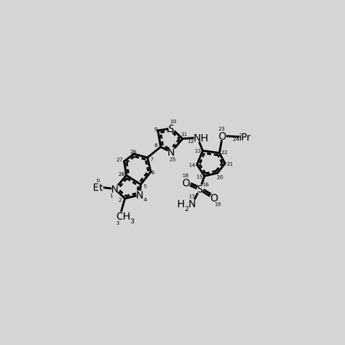 CCn1c(C)nc2cc(-c3csc(Nc4cc(S(N)(=O)=O)ccc4OC(C)C)n3)ccc21